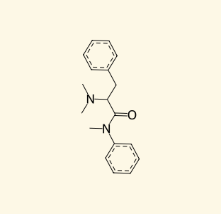 CN(C(=O)C(Cc1ccccc1)N(C)C)c1ccccc1